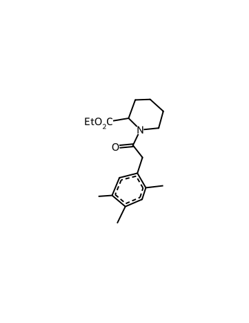 CCOC(=O)C1CCCCN1C(=O)Cc1cc(C)c(C)cc1C